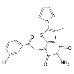 Cc1c(-n2cccn2)sc2c1c(=O)n(N)c(=O)n2CC(=O)c1cccc(Cl)c1